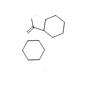 COC(=O)C1([C@H]2CCC[C@@H](N)C2)CCCCC1